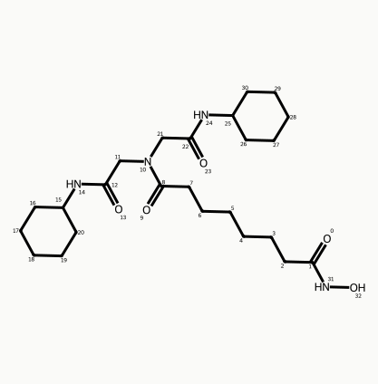 O=C(CCCCCCC(=O)N(CC(=O)NC1CCCCC1)CC(=O)NC1CCCCC1)NO